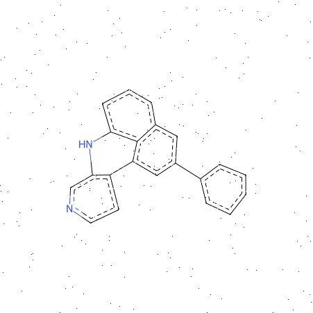 c1ccc(-c2cc3c4c(cccc4c2)Nc2cnccc2-3)cc1